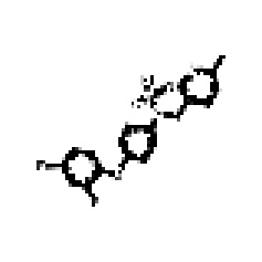 CCS(=O)(=O)N(Cc1ccc(C)nc1)c1ccc(Oc2ccc(F)cc2F)cc1